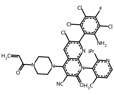 C=CC(=O)N1CCN(c2c(C#N)c(=O)n(-c3c(C)ccnc3C(C)C)c3nc(-c4c(N)c(Cl)c(F)c(Cl)c4Cl)c(Cl)cc23)CC1